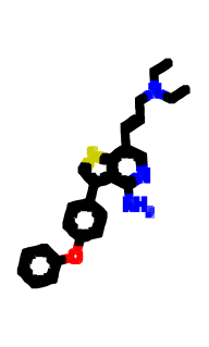 CCN(CC)CC=Cc1cnc(N)c2c(-c3ccc(Oc4ccccc4)cc3)csc12